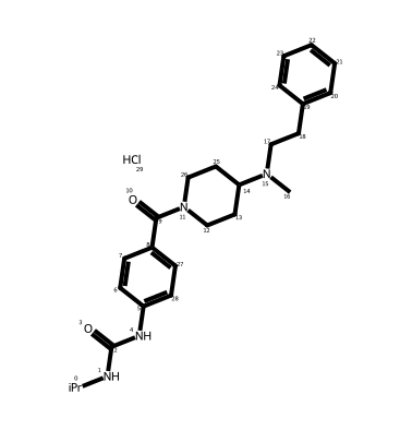 CC(C)NC(=O)Nc1ccc(C(=O)N2CCC(N(C)CCc3ccccc3)CC2)cc1.Cl